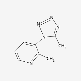 Cc1ncccc1-n1nnnc1C